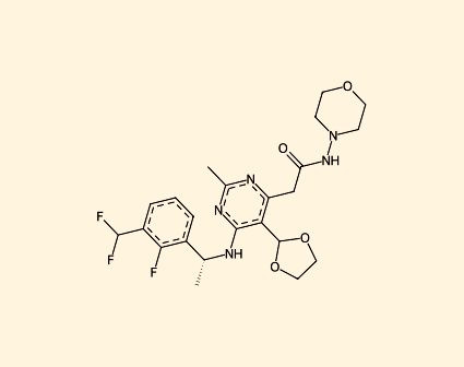 Cc1nc(CC(=O)NN2CCOCC2)c(C2OCCO2)c(N[C@H](C)c2cccc(C(F)F)c2F)n1